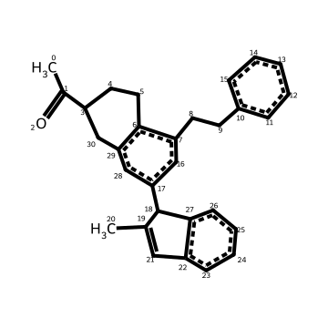 CC(=O)C1CCc2c(CCc3ccccc3)cc(C3C(C)=Cc4ccccc43)cc2C1